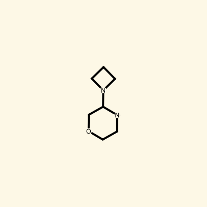 C1CN(C2COCC[N]2)C1